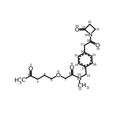 CC(=O)CCCOCC(=O)N(C)Cc1ccc(CC(=O)N2CCC2=O)cc1